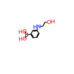 OCCNc1cccc(B(O)O)c1